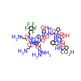 NCCCC[C@H](NC(=O)/C=C/c1c(F)c(F)c(F)c(F)c1F)C(=O)N[C@@H](CCCCN)C(=O)N[C@@H](CCCN=C(N)N)C(=O)N1CCC[C@H]1C(=O)N1C[C@H](O)C[C@H]1C(=O)NCC(=O)N[C@H](C(=O)N[C@@H](CO)C(=O)N1Cc2ccccc2C[C@@H]1C(=O)N[C@H](C(=O)O)C1CCCC1)C1CCCC1